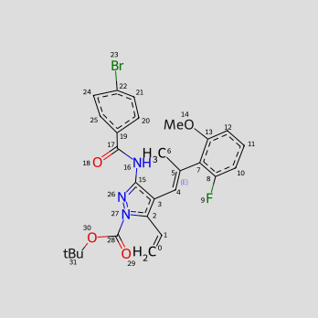 C=Cc1c(/C=C(\C)c2c(F)cccc2OC)c(NC(=O)c2ccc(Br)cc2)nn1C(=O)OC(C)(C)C